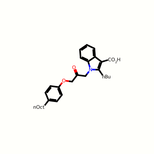 CCCCCCCCc1ccc(OCC(=O)Cn2c(CCCC)c(C(=O)O)c3ccccc32)cc1